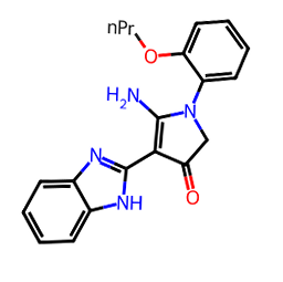 CCCOc1ccccc1N1CC(=O)C(c2nc3ccccc3[nH]2)=C1N